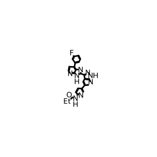 CCC(=O)Nc1ccc(-c2cnc3[nH]nc(-c4nc5c(-c6cccc(F)c6)ccnc5[nH]4)c3c2)cn1